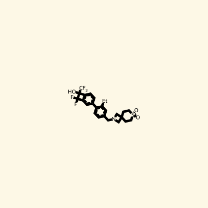 CCc1cc(CN2CC3(CCS(=O)(=O)CC3)C2)ccc1-c1ccc2c(c1)C(F)(F)C2(O)C(F)(F)F